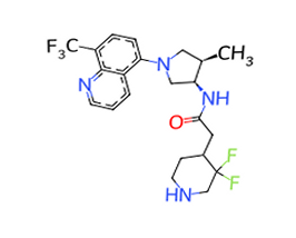 C[C@@H]1CN(c2ccc(C(F)(F)F)c3ncccc23)C[C@@H]1NC(=O)CC1CCNCC1(F)F